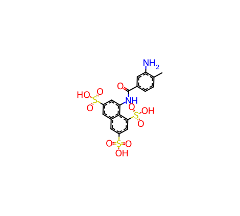 Cc1ccc(C(=O)Nc2cc(S(=O)(=O)O)cc3cc(S(=O)(=O)O)cc(S(=O)(=O)O)c23)cc1N